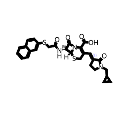 O=C(CSc1ccc2ccccc2c1)N[C@@H]1C(=O)N2C(C(=O)O)=C(/C=C3\CCN(CC4CC4)C3=O)CS[C@H]12